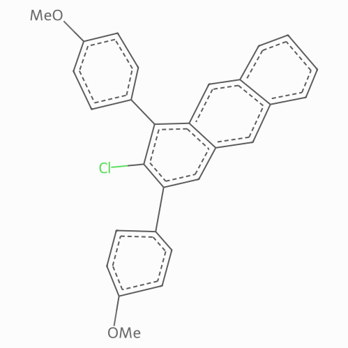 COc1ccc(-c2cc3cc4ccccc4cc3c(-c3ccc(OC)cc3)c2Cl)cc1